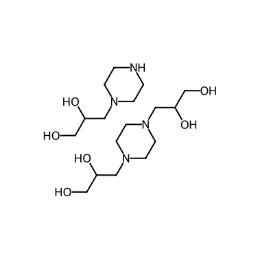 OCC(O)CN1CCN(CC(O)CO)CC1.OCC(O)CN1CCNCC1